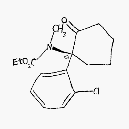 C[CH]OC(=O)N(C)[C@]1(c2ccccc2Cl)CCCCC1=O